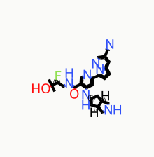 CC(C)(O)[C@H](F)CNC(=O)c1cnc(-c2ccc3cc(C#N)cnn23)cc1N[C@@H]1C[C@H]2CNC[C@H]2C1